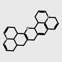 C1=CN2C=CCC3C4=C(CC5=CC6=C7C(CC=CN7CC=C6)C5O4)CC(C1)C32